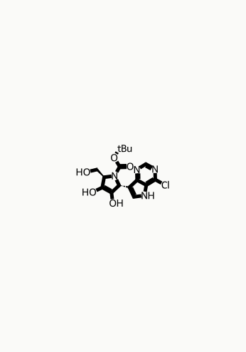 CC(C)(C)OC(=O)N1[C@H](CO)C(O)=C(O)[C@H]1c1c[nH]c2c(Cl)ncnc12